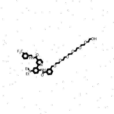 CCN(CC)c1ccc(NC(=O)c2cccc(COCCOCCOCCOCCOCCOCCO)c2)c(-c2cc(C(=O)NCc3cccc(C(F)(F)F)c3)ccn2)c1